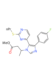 CCCSc1nccc(-c2c(-c3ccc(F)cc3)ncn2C(C)CC(=O)OC)n1